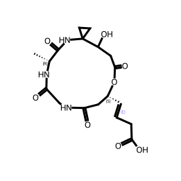 C[C@H]1NC(=O)CNC(=O)C[C@@H](/C=C/CC(=O)O)OC(=O)CC(O)C2(CC2)NC1=O